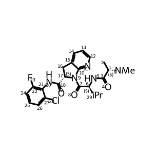 CN[C@@H](C)C(=O)N[C@H](C(=O)N1c2ncccc2C[C@H]1C(=O)Nc1c(F)cccc1Cl)C(C)C